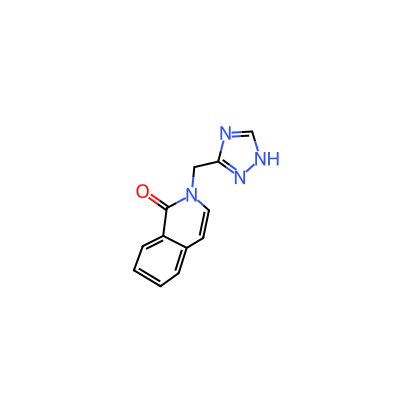 O=c1c2ccccc2ccn1Cc1nc[nH]n1